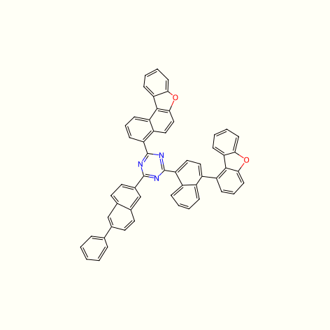 c1ccc(-c2ccc3cc(-c4nc(-c5ccc(-c6cccc7oc8ccccc8c67)c6ccccc56)nc(-c5cccc6c5ccc5oc7ccccc7c56)n4)ccc3c2)cc1